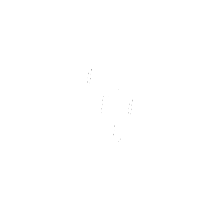 C/C=C(/c1cccc(OC)c1)[C@@H](C)CC